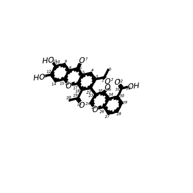 CC(=O)c1cc2c(=O)c3cc(O)c(O)cc3oc2c(C(C)=O)c1-c1coc2cccc(C(=O)O)c2c1=O